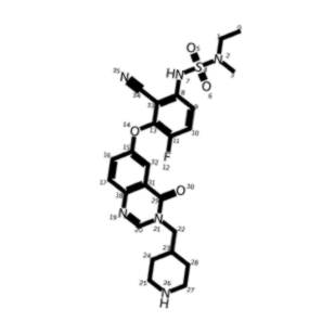 CCN(C)S(=O)(=O)Nc1ccc(F)c(Oc2ccc3ncn(CC4CCNCC4)c(=O)c3c2)c1C#N